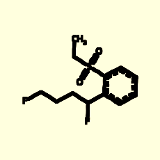 CCS(=O)(=O)c1ccccc1C(F)CCCF